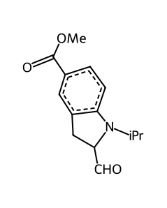 COC(=O)c1ccc2c(c1)CC(C=O)N2C(C)C